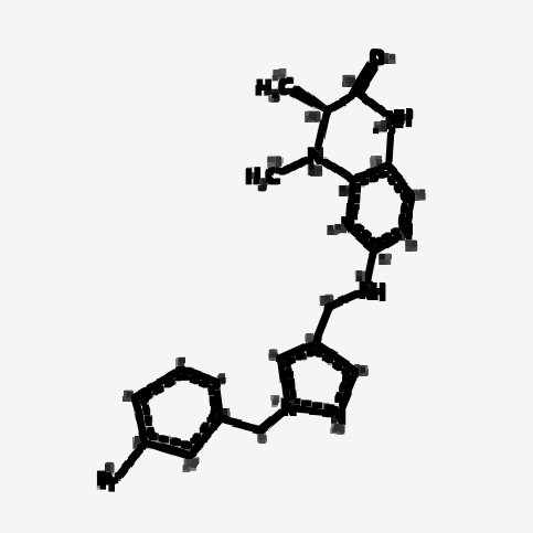 CC(C)c1cccc(Cn2cc(CNc3ncc4c(n3)N(C)[C@@H](C)C(=O)N4)cn2)c1